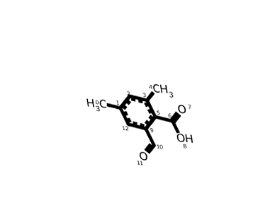 Cc1cc(C)c(C(=O)O)c(C=O)c1